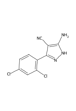 N#Cc1c(-c2ccc(Cl)cc2Cl)n[nH]c1N